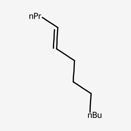 CCCC=CCCCCCCC